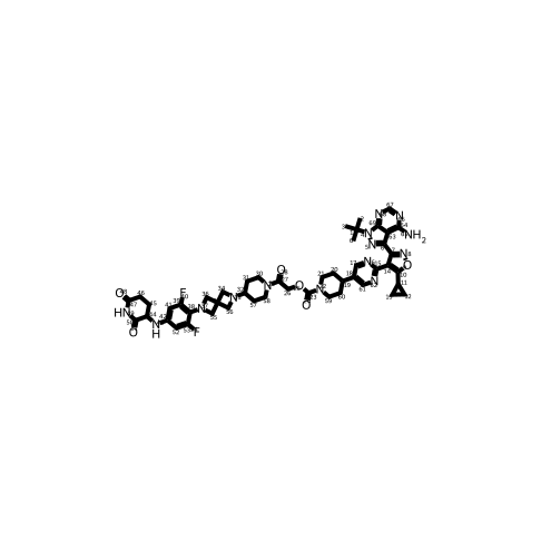 CC(C)(C)n1nc(-c2noc(C3CC3)c2-c2ncc(C3CCN(C(=O)OCC(=O)N4CCC(N5CC6(CN(c7c(F)cc(NC8CCC(=O)NC8=O)cc7F)C6)C5)CC4)CC3)cn2)c2c(N)ncnc21